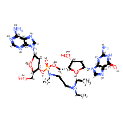 CCN(CC)CCN(C)P(=O)(OC[C@H]1O[C@@H](n2cnc3c(=O)[nH]c(N)nc32)C[C@H]1O)O[C@@H]1C[C@H](n2cnc3c(N)ncnc32)O[C@@H]1CO